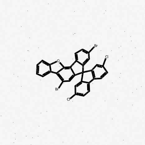 Clc1ccc2c(c1)C1(c3cc(Cl)ccc3-2)c2cc(Br)ccc2-c2c1cc(Br)c1c2oc2ccccc21